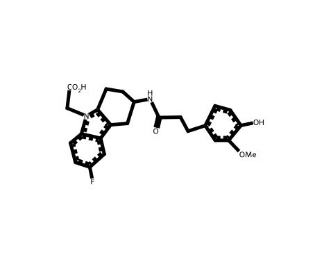 COc1cc(CCC(=O)NC2CCc3c(c4cc(F)ccc4n3CC(=O)O)C2)ccc1O